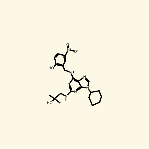 CC(C)(O)CNc1nc(NCc2cc([N+](=O)[O-])ccc2O)c2ncn(C3CCCCC3)c2n1